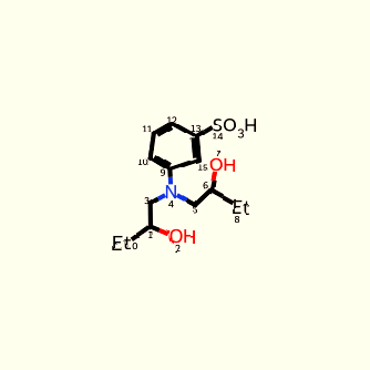 CCC(O)CN(CC(O)CC)c1cccc(S(=O)(=O)O)c1